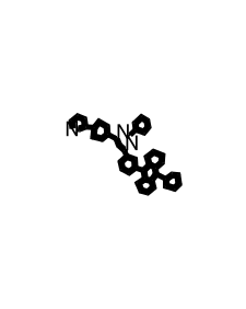 c1ccc(-c2nc(-c3ccc(-c4cccnc4)cc3)cc(-c3cccc(-c4c5ccccc5c(-c5ccccc5)c5ccccc45)c3)n2)cc1